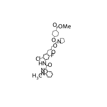 COC(=O)[C@H]1CC[C@H](OC(OCC(=O)Cc2cc(Cl)c(NC(=O)c3nn(C)c4ccccc34)cc2F)N2CCCC2)CC1